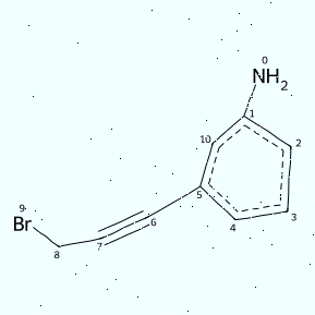 Nc1cccc(C#CCBr)c1